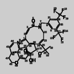 C=C1/C=C\C(=O)N(Cc2cc(C(F)(F)F)cc(C(F)(F)F)c2)C/C=C(C)\C([C@H](OC(C)(C)C)C(=O)O)=C/1c1ccc2c3c(ccnc13)CCO2